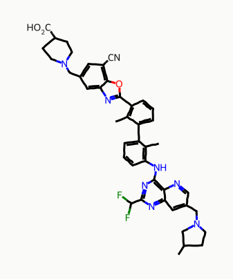 Cc1c(Nc2nc(C(F)F)nc3cc(CN4CCC(C)C4)cnc23)cccc1-c1cccc(-c2nc3cc(CN4CCC(C(=O)O)CC4)cc(C#N)c3o2)c1C